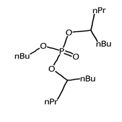 CCCCOP(=O)(OC(CCC)CCCC)OC(CCC)CCCC